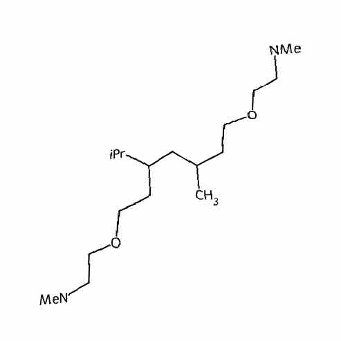 CNCCOCCC(C)CC(CCOCCNC)C(C)C